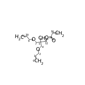 C=CCOCC(C)(COCC=C)COC(=O)C=C